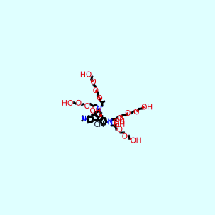 Cc1cc(N(CC(C)COCCOCCOCCO)CC(O)COCCOCCO)ccc1C(C#N)(c1ccc(N(C)C)cc1)c1ccc(N(CC(O)COCCOCCO)CC(O)COCCOCCOCCO)cc1C